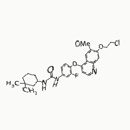 COc1cc2c(Oc3ccc(NC(=O)NC4CCCC(C)(C)C4)cc3F)ccnc2cc1OCCCl